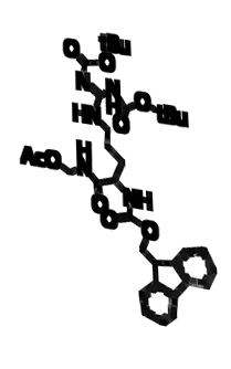 CC(=O)OCNC(=O)C(CCCNC(=NC(=O)OC(C)(C)C)NC(=O)OC(C)(C)C)NC(=O)OCC1c2ccccc2-c2ccccc21